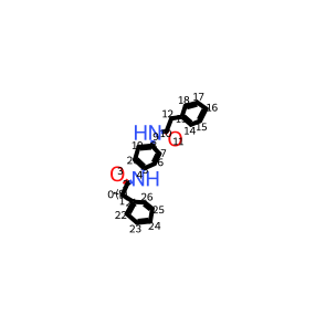 C[C@H](C(=O)Nc1ccc(NC(=O)Cc2ccccc2)cc1)c1ccccc1